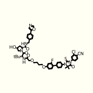 CC(C)(C)[C@H](NC(=O)COCCCCOc1ccc(-c2ccc(N3C(=S)N(c4ccc(C#N)c(Cl)c4)C(=O)C3(C)C)cc2)c(F)c1)C(=O)N1C[C@H](O)C[C@H]1C(=O)NCc1ccc(-c2cnco2)cc1